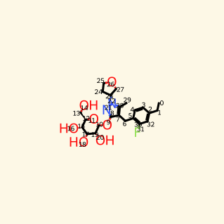 CCc1ccc(Cc2c(O[C@@H]3O[C@H](CO)[C@@H](O)[C@H](O)[C@H]3O)nn(C3CCOC3)c2C)c(F)c1